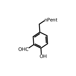 CCCCCCc1ccc(O)c(C=O)c1